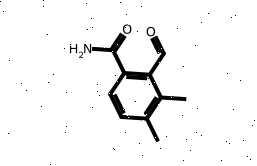 Cc1ccc(C(N)=O)c(C=O)c1C